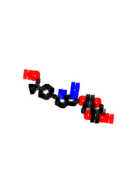 OCC1(c2ccc(-c3ccc4cc(O[C@@H]5CO[C@H]6[C@@H]5OC[C@H]6O)[nH]c4n3)cc2)CC1